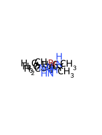 C=C1NC(C)=CC(C)=C1Cc1cc(Br)nc(NC2CCN(C(=C)CC(C)(C)C)CC2)c1C=N